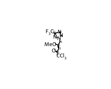 CO/C(=C\C(=O)C(Cl)(Cl)Cl)Cn1nnc(C(F)(F)F)n1